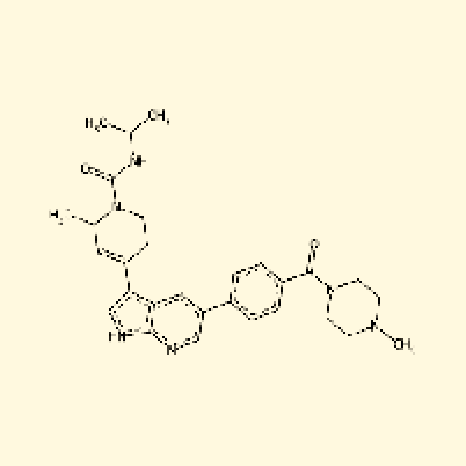 CC(C)NC(=O)N1CCC(c2c[nH]c3ncc(-c4ccc(C(=O)N5CCN(C)CC5)cc4)cc23)=CC1C